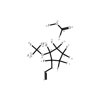 C=CCC1(F)C(F)(F)C(F)(F)C(F)(F)C1(F)OC(F)(C(F)(F)F)C(F)(F)F.O=C(F)OF